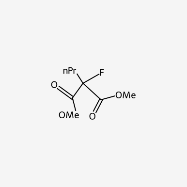 CCCC(F)(C(=O)OC)C(=O)OC